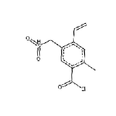 C=Cc1cc(C)c(C(=O)Cl)cc1C[SH](=O)=O